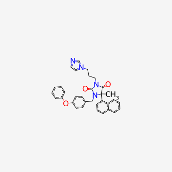 CC1(c2cccc3ccccc23)C(=O)N(CCCn2ccnc2)C(=O)N1Cc1ccc(Oc2ccccc2)cc1